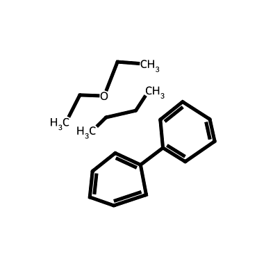 CCCC.CCOCC.c1ccc(-c2ccccc2)cc1